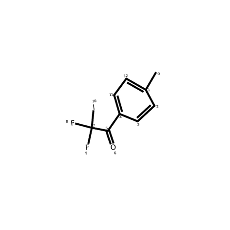 Cc1ccc(C(=O)C(F)(F)I)cc1